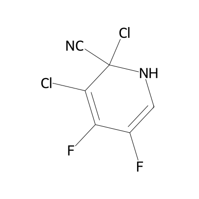 N#CC1(Cl)NC=C(F)C(F)=C1Cl